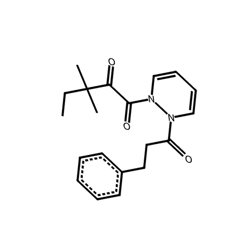 CCC(C)(C)C(=O)C(=O)N1C=CC=CN1C(=O)CCc1ccccc1